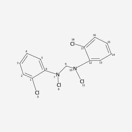 Clc1ccccc1N(Cl)CN(Cl)c1ccccc1Cl